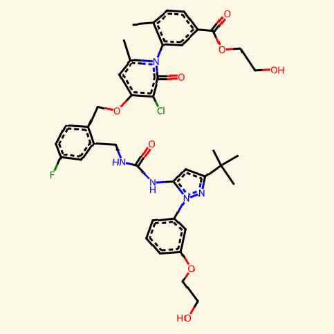 Cc1ccc(C(=O)OCCO)cc1-n1c(C)cc(OCc2ccc(F)cc2CNC(=O)Nc2cc(C(C)(C)C)nn2-c2cccc(OCCO)c2)c(Cl)c1=O